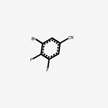 N#Cc1cc(F)c(F)c(Br)c1